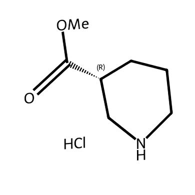 COC(=O)[C@@H]1CCCNC1.Cl